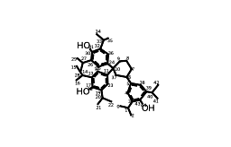 CC(C)c1cc(C2CCCC(c3cc(C(C)C)c(O)c(C(C)C)c3)(c3cc(C(C)C)c(O)c(C(C)C)c3)C2)cc(C(C)C)c1O